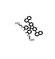 Cc1cc(C2(c3ccc(OCCO)c(C)c3)c3cc(-c4cccc5ccccc45)ccc3-c3ccc(-c4cccc5ccccc45)cc32)ccc1OCCO